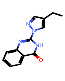 CCc1cnn(-c2nc3ccccc3c(=O)[nH]2)c1